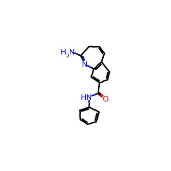 NC1=Nc2cc(C(=O)Nc3ccccc3)ccc2C=CC1